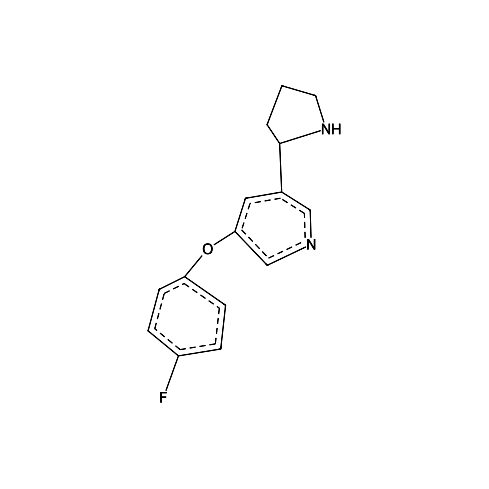 Fc1ccc(Oc2cncc(C3CCCN3)c2)cc1